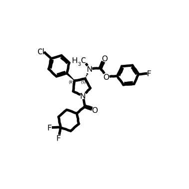 CN(C(=O)Oc1ccc(F)cc1)[C@@H]1CN(C(=O)C2CCC(F)(F)CC2)C[C@H]1c1ccc(Cl)cc1